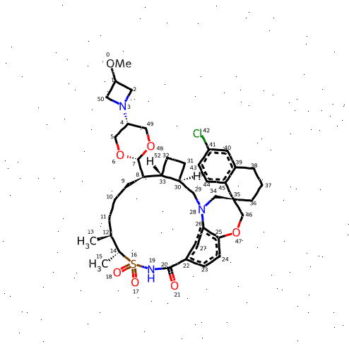 COC1CN([C@H]2CO[C@@H]([C@@H]3CCC[C@H](C)[C@@H](C)S(=O)(=O)NC(=O)c4ccc5c(c4)N(C[C@@H]4CC[C@H]43)C[C@@]3(CCCc4cc(Cl)ccc43)CO5)OC2)C1